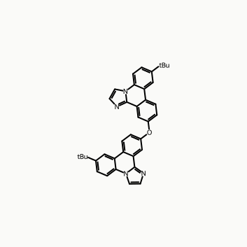 CC(C)(C)c1ccc2c(c1)c1ccc(Oc3ccc4c5cc(C(C)(C)C)ccc5n5ccnc5c4c3)cc1c1nccn21